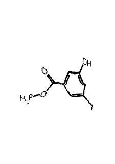 O=C(OP)c1cc(O)cc(I)c1